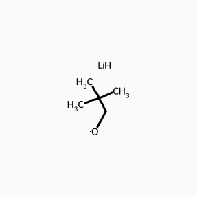 CC(C)(C)C[O].[LiH]